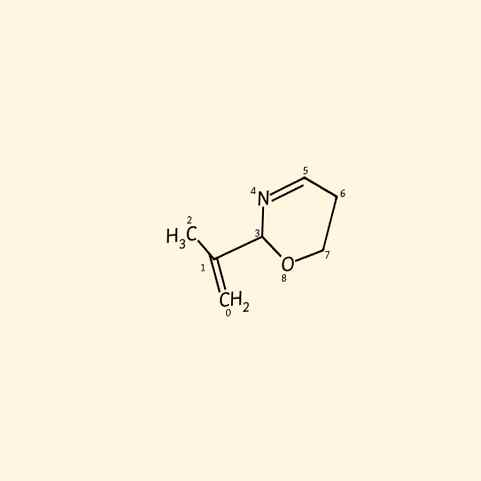 C=C(C)C1N=CCCO1